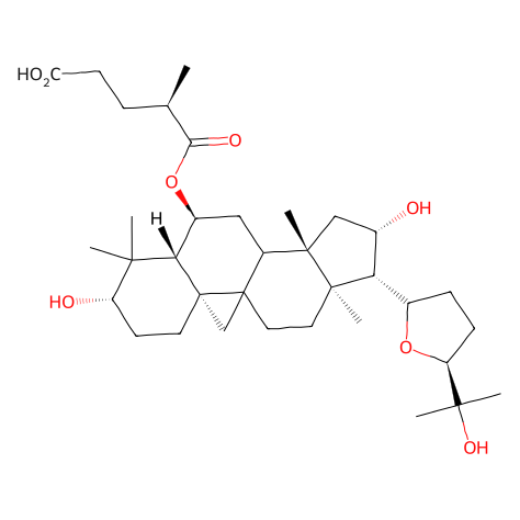 C[C@H](CCC(=O)O)C(=O)O[C@H]1CC2C3(CC[C@]4(C)[C@@H](C5CC[C@@H](C(C)(C)O)O5)[C@@H](O)C[C@@]24C)C[C@@]32CC[C@H](O)C(C)(C)[C@H]12